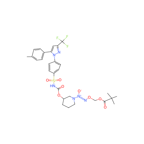 Cc1ccc(-c2cc(C(F)(F)F)nn2-c2ccc(S(=O)(=O)NC(=O)OC3CCCN([N+]([O-])=NOCOC(=O)C(C)(C)C)C3)cc2)cc1